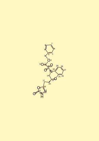 O=C(OCc1ccccc1)S(=O)(=O)N1C[C@H](CCc2n[nH]c(=O)o2)Oc2ccccc21